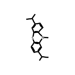 CC(C)c1ccc2c(c1)Sc1ccc(C(C)C)cc1N2C